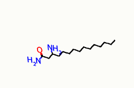 CCCCCCCCCCCCC(N)CC(N)=O